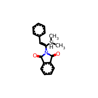 C[SiH](C)/C(=C\c1ccccc1)N1C(=O)c2ccccc2C1=O